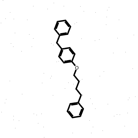 [CH](CCCOc1ccc(Cc2ccccc2)cc1)c1ccccc1